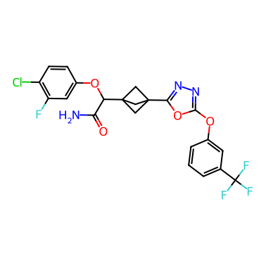 NC(=O)C(Oc1ccc(Cl)c(F)c1)C12CC(c3nnc(Oc4cccc(C(F)(F)F)c4)o3)(C1)C2